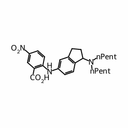 CCCCCN(CCCCC)C1CCc2cc(Nc3ccc([N+](=O)[O-])cc3C(=O)O)ccc21